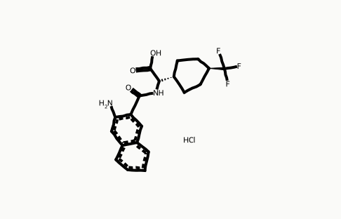 Cl.Nc1cc2ccccc2cc1C(=O)NC(C(=O)O)[C@H]1CC[C@H](C(F)(F)F)CC1